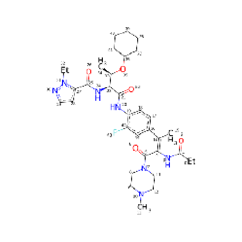 CCC(=O)N/C(C(=O)N1CCN(C)CC1)=C(\C)c1ccc(NC(=O)[C@@H](NC(=O)c2ccnn2CC)[C@@H](C)OC2CCCCC2)c(F)c1